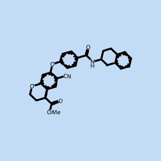 COC(=O)C1CCOc2cc(Oc3ccc(C(=O)NC4CCc5ccccc5C4)cc3)c(C#N)cc21